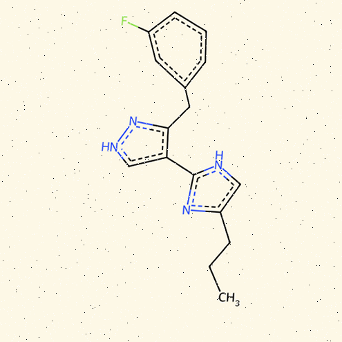 CCCc1c[nH]c(-c2c[nH]nc2Cc2cccc(F)c2)n1